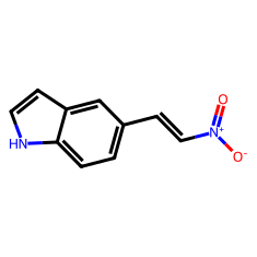 O=[N+]([O-])C=Cc1ccc2[nH]ccc2c1